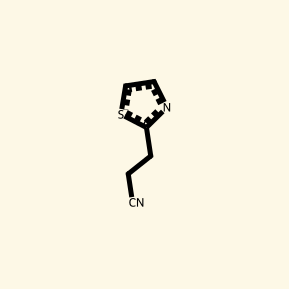 N#CCCc1nccs1